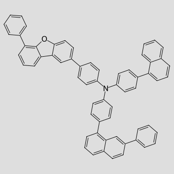 c1ccc(-c2ccc3cccc(-c4ccc(N(c5ccc(-c6ccc7oc8c(-c9ccccc9)cccc8c7c6)cc5)c5ccc(-c6cccc7ccccc67)cc5)cc4)c3c2)cc1